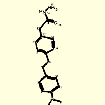 CN(C)c1ccc(CCc2ccc(CC(=O)NN)cc2)cc1